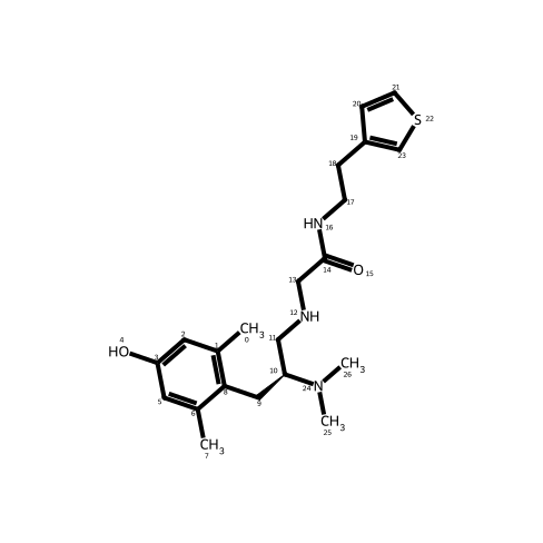 Cc1cc(O)cc(C)c1C[C@@H](CNCC(=O)NCCc1ccsc1)N(C)C